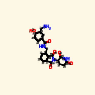 NCc1cc(C(=O)NCc2cccc3c2C(=O)N(C2CCC(=O)NC2=O)C3=O)ccc1O